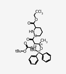 C[C@@H](O[Si](c1ccccc1)(c1ccccc1)C(C)(C)C)[C@H](NC(=O)OC(C)(C)C)C(=O)N1CCCC(C(=O)OCC(Cl)(Cl)Cl)N1